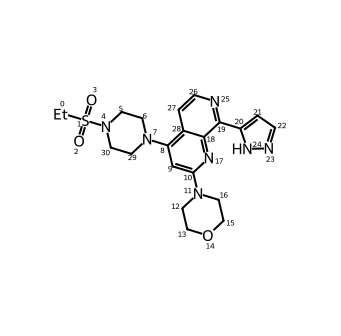 CCS(=O)(=O)N1CCN(c2cc(N3CCOCC3)nc3c(-c4ccn[nH]4)nccc23)CC1